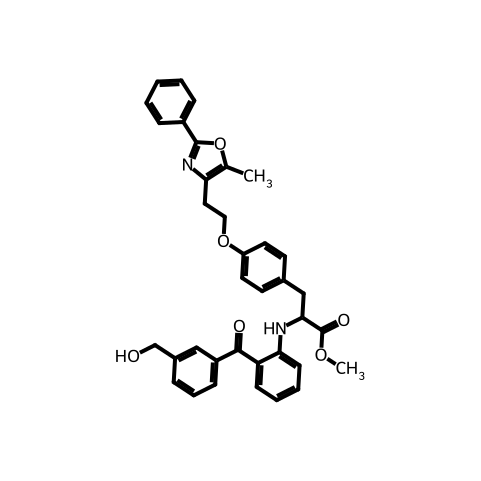 COC(=O)C(Cc1ccc(OCCc2nc(-c3ccccc3)oc2C)cc1)Nc1ccccc1C(=O)c1cccc(CO)c1